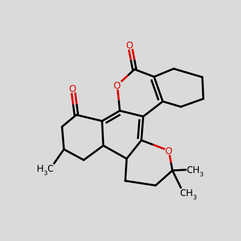 CC1CC(=O)C2=c3oc(=O)c4c(c3=C3OC(C)(C)CCC3C2C1)CCCC4